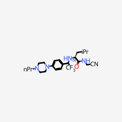 CCCN1CCN(c2ccc(C(N[C@@H](CC(C)C)C(=O)NCC#N)C(F)(F)F)cc2)CC1